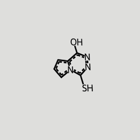 Oc1nnc(S)n2cccc12